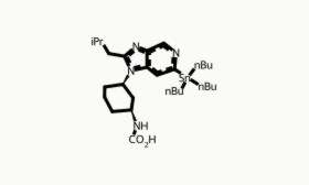 CCC[CH2][Sn]([CH2]CCC)([CH2]CCC)[c]1cc2c(cn1)nc(CC(C)C)n2[C@@H]1CCC[C@H](NC(=O)O)C1